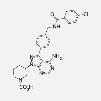 Nc1ncnc2c1c(-c1ccc(CNC(=O)c3ccc(Cl)cc3)cc1)nn2[C@@H]1CCCN(C(=O)O)C1